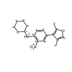 Cc1noc(C)c1-c1ccc(NC2CCCCC2)c([N+](=O)[O-])c1